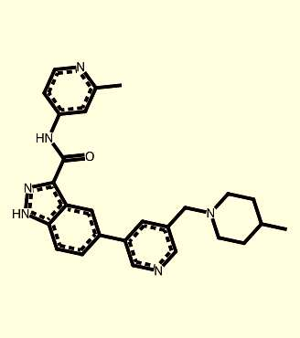 Cc1cc(NC(=O)c2n[nH]c3ccc(-c4cncc(CN5CCC(C)CC5)c4)cc23)ccn1